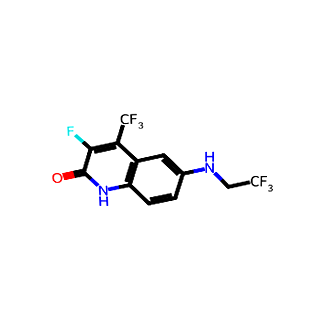 O=c1[nH]c2ccc(NCC(F)(F)F)cc2c(C(F)(F)F)c1F